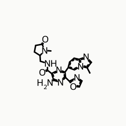 Cc1cnc2ccc(-c3nc(C(=O)NCC4CCC(=O)N4C)c(N)nc3-c3ncco3)cn12